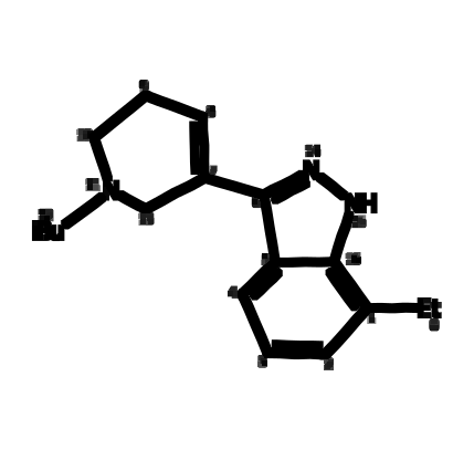 CCc1cccc2c(C3=CCCN(C(C)CC)C3)n[nH]c12